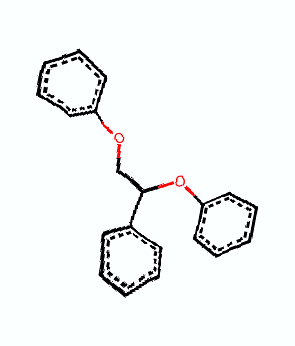 c1ccc(OCC(Oc2ccccc2)c2ccccc2)cc1